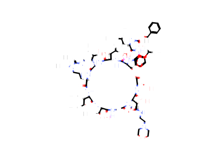 C=C(NC)N(C)CCC[C@H]1NC(=O)[C@H](CC(C)C)NC(=O)[C@H]([C@H](O)C(C)C)NC(=O)[C@@H](NC(=O)[C@H](CC(C)C)NC(=O)[C@@H](CC(C)C)NC(=O)OCc2ccccc2)[C@@H](c2ccccc2)OC(=O)[C@H](CO)NC(=O)[C@H]([C@H](O)C(=O)NCCN2CCOCC2)N(C)C(=O)CNC(=O)[C@H]([C@H](C)O)NC(=O)[C@H]([C@@H](C)CC)NC1=O